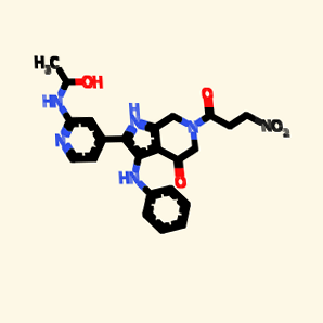 CC(O)Nc1cc(-c2[nH]c3c(c2Nc2ccccc2)C(=O)CN(C(=O)CC[N+](=O)[O-])C3)ccn1